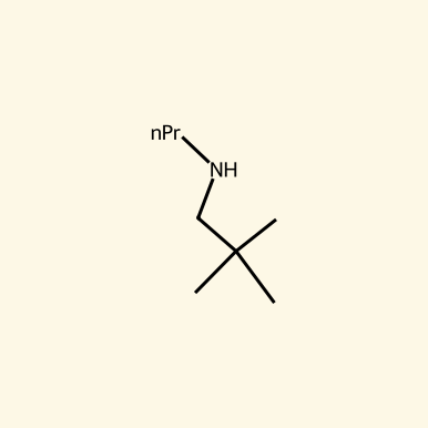 CCCNCC(C)(C)C